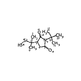 CC(C)(SS)C1CC(=O)N(C(C)(C)C)C1=O